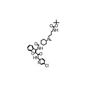 CN(CCCNC(=O)OC(C)(C)C)[C@H]1CC[C@H](C(=O)Nc2c(C(=O)Nc3ccc(Cl)cn3)oc3ccccc23)CC1